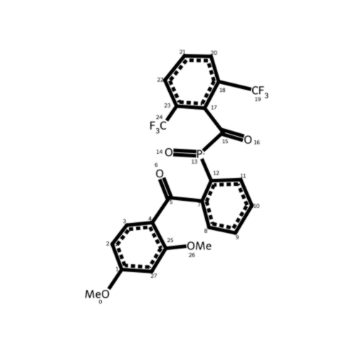 COc1ccc(C(=O)c2ccccc2[P](=O)C(=O)c2c(C(F)(F)F)cccc2C(F)(F)F)c(OC)c1